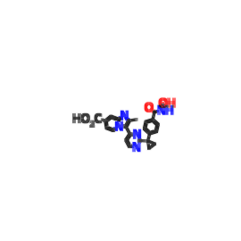 Cc1nc2cc(C(=O)O)ccn2c1-c1ccnc(C2(c3ccc(C(=O)NO)cc3)CC2)n1